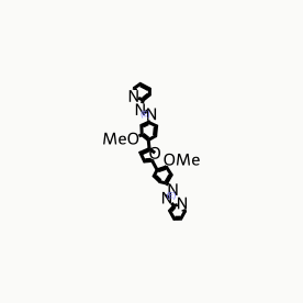 COc1cc(/N=N/c2ccccn2)ccc1-c1ccc(-c2ccc(/N=N/c3ccccn3)cc2OC)o1